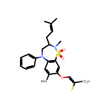 CSc1cc2c(cc1O/C=C(\F)C(=O)O)S(=O)(=O)N(C)C(CC=C(C)C)CN2c1ccccc1